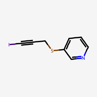 IC#CCSc1cccnc1